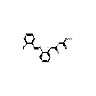 COC(=O)NC(=S)Nc1ccccc1/N=C/c1ccccc1F